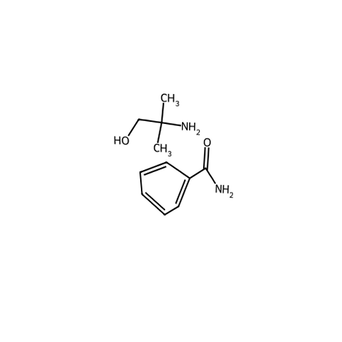 CC(C)(N)CO.NC(=O)c1ccccc1